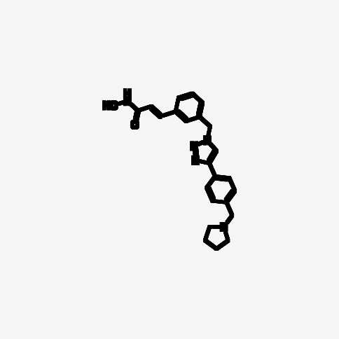 O=C(/C=C/c1cccc(Cn2cc(-c3ccc(CN4CCCC4)cc3)nn2)c1)NO